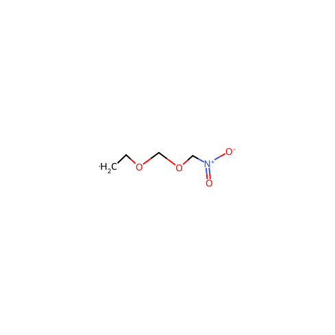 [CH2]COCOC[N+](=O)[O-]